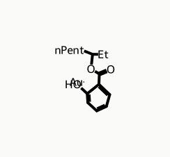 CCCCCC(CC)OC(=O)c1ccccc1O.[Au]